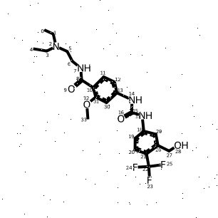 CCN(CC)CCNC(=O)c1ccc(NC(=O)Nc2ccc(C(F)(F)F)c(CO)c2)cc1OC